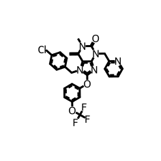 C=C1c2c(nc(Oc3cccc(OC(F)(F)F)c3)n2Cc2ccc(Cl)cc2)N(Cc2ccccn2)C(=O)N1C